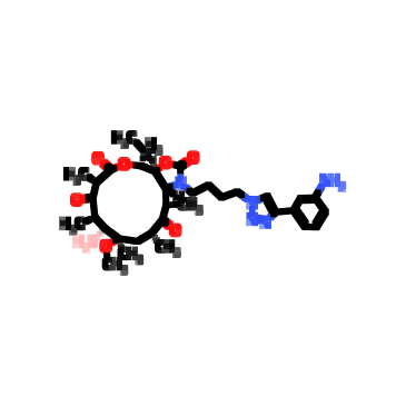 B[C@@H]1[C@@H](C)C(=O)[C@@H](C)C(=O)O[C@H](CC)[C@@]2(C)OC(=O)N(CCCCn3cc(-c4cccc(N)c4)nn3)[C@@H]2[C@@H](C)C(=O)[C@H](C)C[C@@]1(C)OC